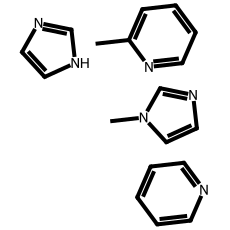 Cc1ccccn1.Cn1ccnc1.c1c[nH]cn1.c1ccncc1